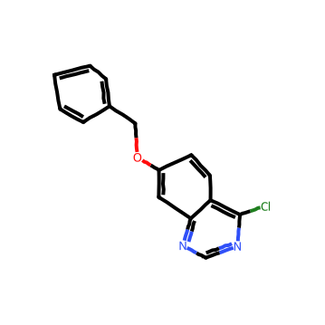 Clc1n[c]nc2cc(OCc3ccccc3)ccc12